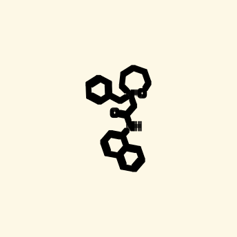 O=C(C[N+]1(Cc2ccccc2)CCCCCO1)Nc1cccc2ccccc12